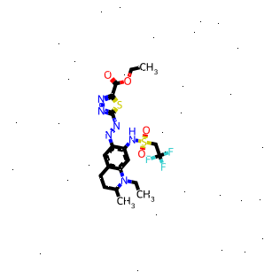 CCOC(=O)c1nnc(N=Nc2cc3c(cc2NS(=O)(=O)CC(F)(F)F)N(CC)C(C)CC3)s1